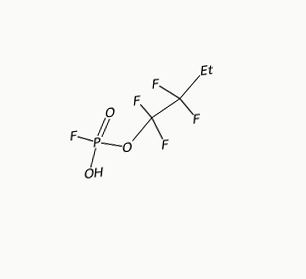 CCC(F)(F)C(F)(F)OP(=O)(O)F